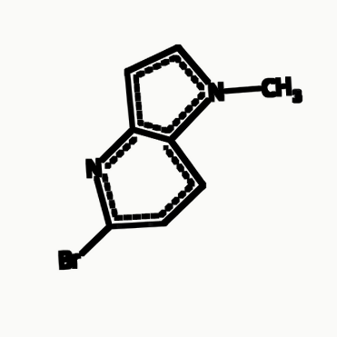 Cn1ccc2nc(Br)ccc21